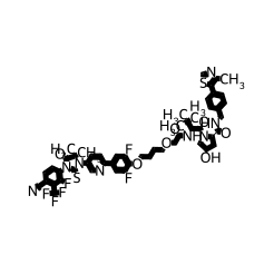 Cc1ncsc1-c1ccc(CNC(=O)[C@@H]2C[C@@H](O)CN2C(=O)[C@@H](NC(=O)COCCCCOc2c(F)cc(-c3ccc(N4C(=S)N(c5ccc(C#N)c(C(F)(F)F)c5F)C(=O)C4(C)C)cn3)cc2F)C(C)(C)C)cc1